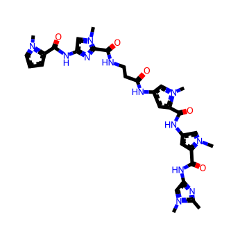 Cc1nc(NC(=O)c2cc(NC(=O)c3cc(NC(=O)CCNC(=O)c4nc(NC(=O)c5cccn5C)cn4C)cn3C)cn2C)cn1C